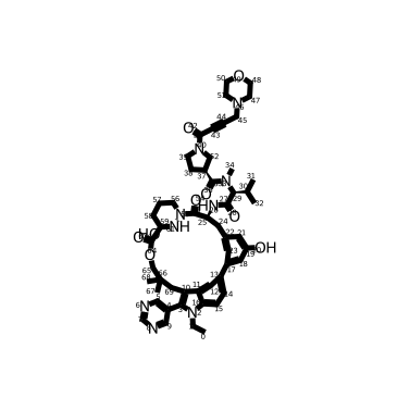 CCn1c(-c2cncnc2)c2c3cc(ccc31)-c1cc(O)cc(c1)C[C@H](NC(=O)[C@H](C(C)C)N(C)C(=O)[C@H]1CCN(C(=O)C#CCN3CCOCC3)C1)C(=O)N1CCC[C@@](O)(N1)C(=O)OCC(C)(C)C2